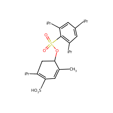 CC1=CC(S(=O)(=O)O)=C(C(C)C)CC1OS(=O)(=O)c1c(C(C)C)cc(C(C)C)cc1C(C)C